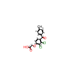 Cc1ccc(C(=O)c2ccc(OCC(=O)O)c(Cl)c2Cl)cc1